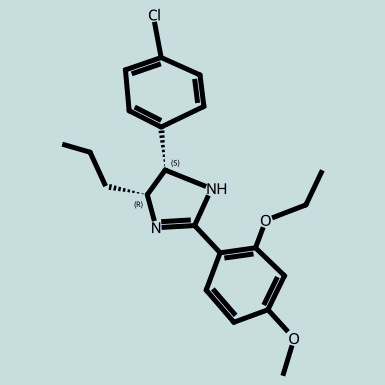 CCC[C@H]1N=C(c2ccc(OC)cc2OCC)N[C@H]1c1ccc(Cl)cc1